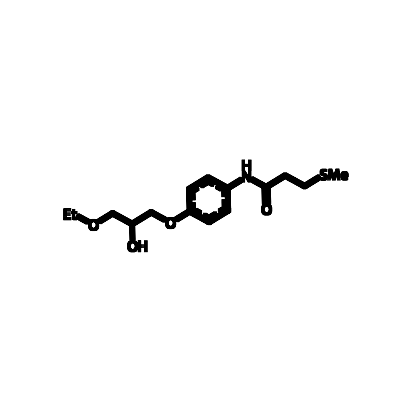 CCOCC(O)COc1ccc(NC(=O)CCSC)cc1